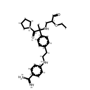 CCOC(C=O)CNC(C)(C(=O)N1CCCC1)c1ccc(CCNc2ccc(C(=N)N)cc2)cc1